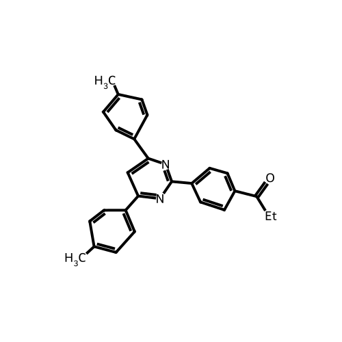 CCC(=O)c1ccc(-c2nc(-c3ccc(C)cc3)cc(-c3ccc(C)cc3)n2)cc1